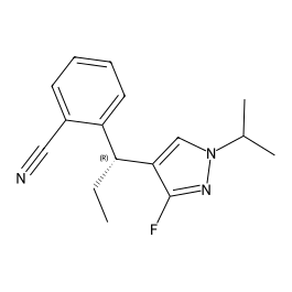 CC[C@H](c1ccccc1C#N)c1cn(C(C)C)nc1F